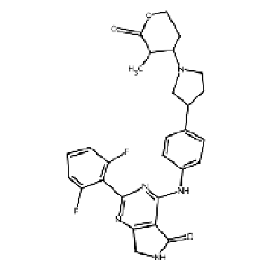 CC1C(=O)OCCC1N1CCC(c2ccc(Nc3nc(-c4c(F)cccc4F)nc4c3C(=O)NC4)cc2)C1